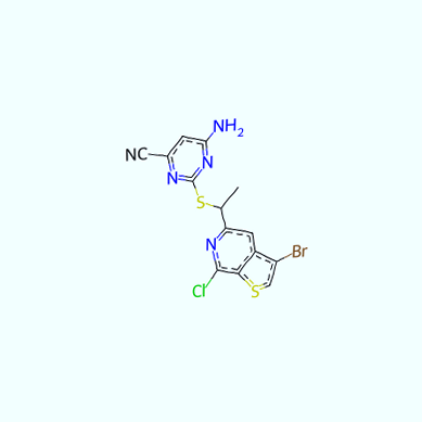 CC(Sc1nc(N)cc(C#N)n1)c1cc2c(Br)csc2c(Cl)n1